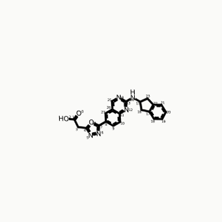 O=C(O)Cc1nnc(-c2ccc3nc(NC4Cc5ccccc5C4)ncc3c2)o1